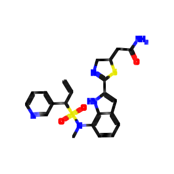 C=CC(c1cccnc1)S(=O)(=O)N(C)c1cccc2cc(C3=NCC(CC(N)=O)S3)[nH]c12